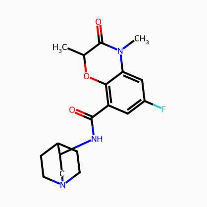 CC1Oc2c(C(=O)NC3CN4CCC3CC4)cc(F)cc2N(C)C1=O